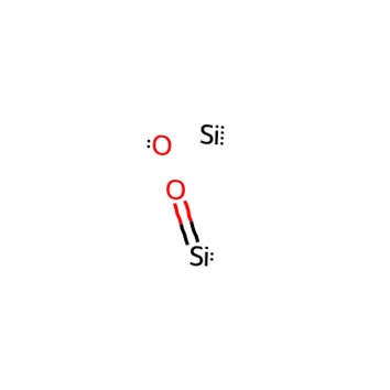 O=[Si].[O].[Si]